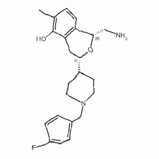 Cc1ccc2c(c1O)C[C@@H](C1CCN(Cc3ccc(F)cc3)CC1)O[C@H]2CN